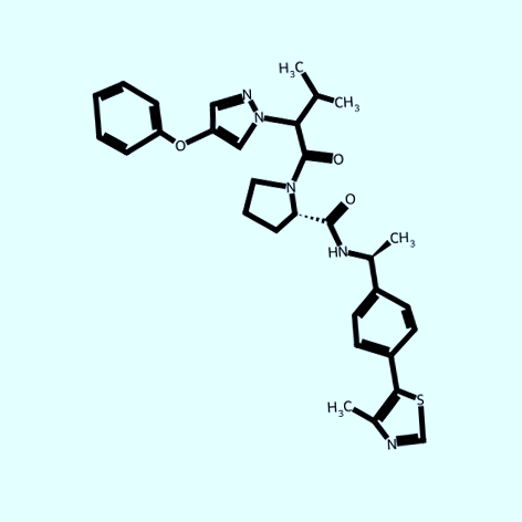 Cc1ncsc1-c1ccc([C@H](C)NC(=O)[C@@H]2CCCN2C(=O)C(C(C)C)n2cc(Oc3ccccc3)cn2)cc1